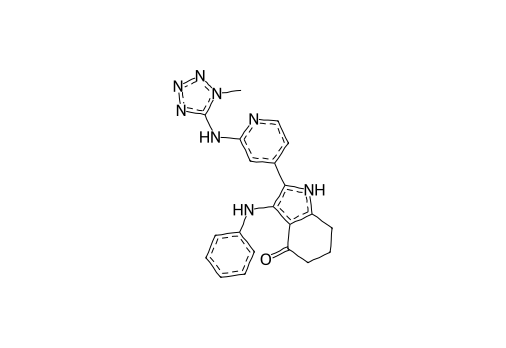 Cn1nnnc1Nc1cc(-c2[nH]c3c(c2Nc2ccccc2)C(=O)CCC3)ccn1